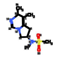 CC1=C2C[C@H](N(C(C)C)S(C)(=O)=O)CN2C=N[C@H]1C